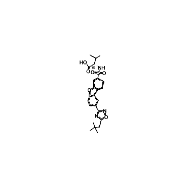 CC(C)[C@H](NS(=O)(=O)c1ccc2c(c1)oc1ccc(-c3noc(CC(C)(C)C)n3)cc12)C(=O)O